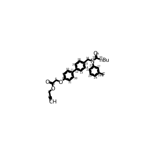 C#CCOC(=O)COc1ccc(-c2ccc(CN(C(=O)CCCC)c3cccc(F)c3)cc2)cc1